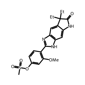 CCC1(CC)C(=O)Nc2cc3[nH]c(-c4ccc(OS(C)(=O)=O)cc4OC)nc3cc21